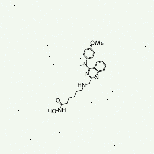 COc1ccc(N(C)c2nc(CNCCCCCC(=O)NO)nc3ccccc23)cc1